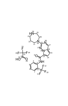 O=C(Nc1ccccc1C(F)(F)F)c1ccc2cnc(N3CCCNCC3)nn12.O=C(O)C(F)(F)F